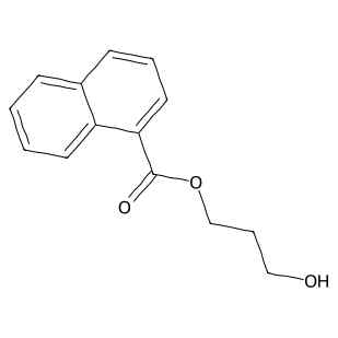 O=C(OCCCO)c1cccc2ccccc12